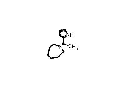 CC(c1ccc[nH]1)N1CCCCCC1